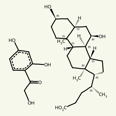 C[C@H](CCC(=O)O)[C@H]1CC[C@H]2[C@@H]3[C@H](O)C[C@@H]4C[C@H](O)CC[C@]4(C)[C@H]3CC[C@]12C.O=C(CO)c1ccc(O)cc1O